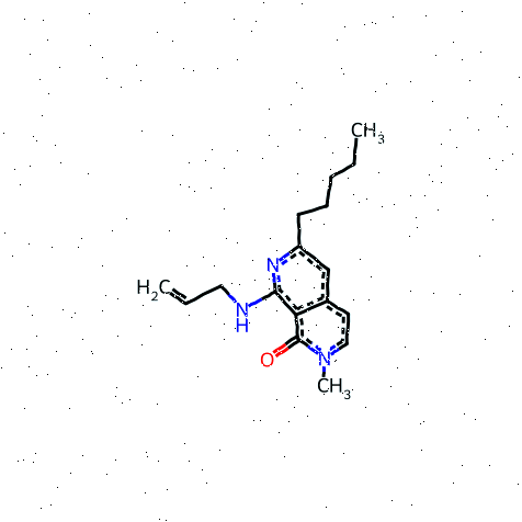 C=CCNc1nc(CCCCC)cc2ccn(C)c(=O)c12